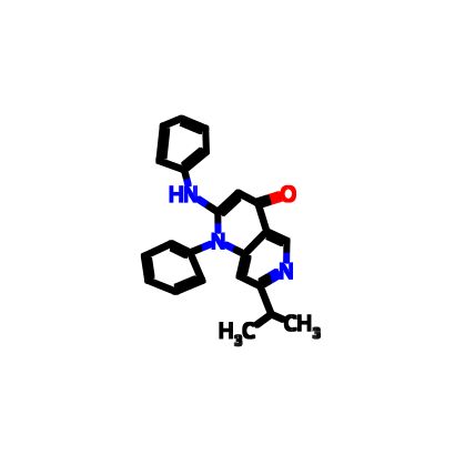 CC(C)c1cc2c(cn1)c(=O)cc(Nc1ccccc1)n2-c1ccccc1